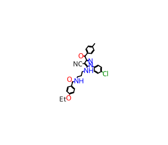 CCOc1ccc(C(=O)NCCCNc2c(C#N)c(C(=O)c3ccc(C)cc3)nn2-c2ccc(Cl)cc2)cc1